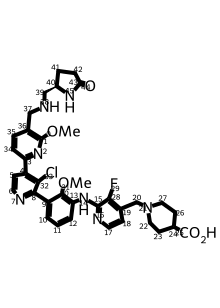 COc1nc(-c2ccnc(-c3cccc(Nc4nccc(CN5CCC(C(=O)O)CC5)c4F)c3OC)c2Cl)ccc1CNC[C@H]1CCC(=O)N1